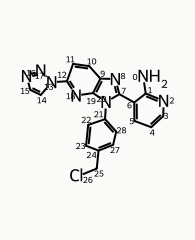 Nc1ncccc1-c1nc2ccc(-n3ccnn3)nc2n1-c1ccc(CCl)cc1